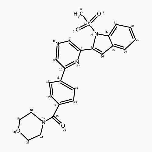 CS(=O)(=O)n1c(-c2cncc(-c3ccc(C(=O)N4CCOCC4)cc3)n2)cc2ccccc21